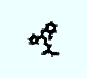 CNC(=O)OCCC(Oc1ccccc1Br)c1ccsc1